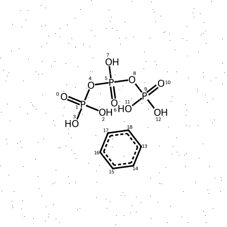 O=P(O)(O)OP(=O)(O)OP(=O)(O)O.c1ccccc1